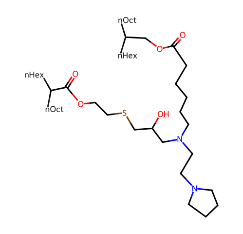 CCCCCCCCC(CCCCCC)COC(=O)CCCCCN(CCN1CCCC1)CC(O)CSCCOC(=O)C(CCCCCC)CCCCCCCC